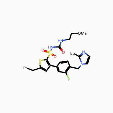 CCc1nccn1Cc1ccc(-c2cc(CC(C)C)sc2S(=O)(=O)NC(=O)NCCOC)cc1F